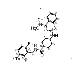 CN(C)c1nc(NC2CCC(C(=O)NCc3c(F)ccc(Cl)c3F)CC2)nc2ccccc12